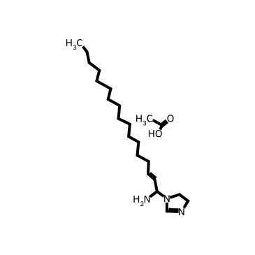 CC(=O)O.CCCCCCCCCCCCCCC=CC(N)N1C=NCC1